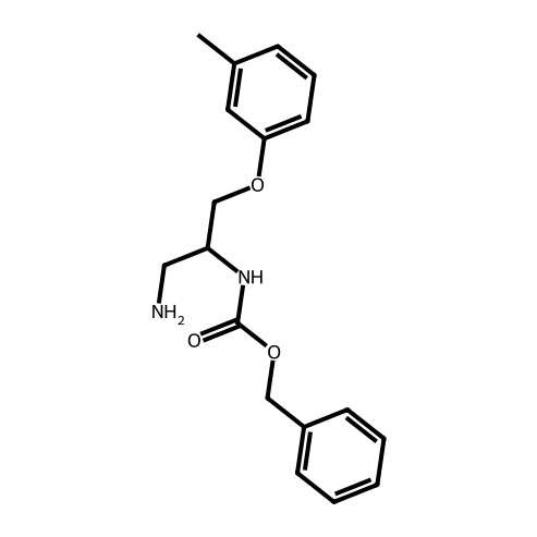 Cc1cccc(OCC(CN)NC(=O)OCc2ccccc2)c1